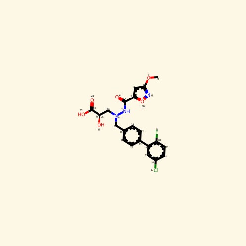 COc1cc(C(=O)NN(Cc2ccc(-c3cc(Cl)ccc3F)cc2)C[C@@H](O)C(=O)O)on1